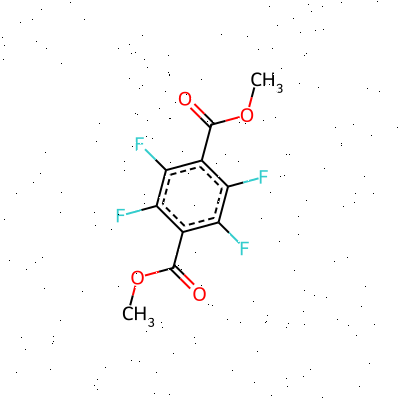 COC(=O)c1c(F)c(F)c(C(=O)OC)c(F)c1F